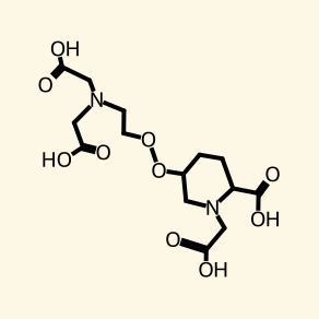 O=C(O)CN(CCOOC1CCC(C(=O)O)N(CC(=O)O)C1)CC(=O)O